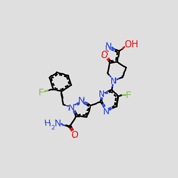 NC(=O)c1cc(-c2ncc(F)c(N3CCc4c(O)noc4C3)n2)nn1Cc1ccccc1F